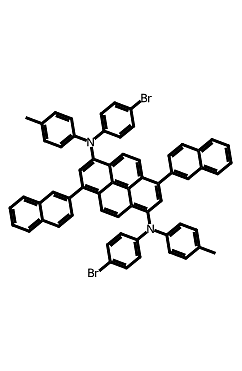 Cc1ccc(N(c2ccc(Br)cc2)c2cc(-c3ccc4ccccc4c3)c3ccc4c(N(c5ccc(C)cc5)c5ccc(Br)cc5)cc(-c5ccc6ccccc6c5)c5ccc2c3c54)cc1